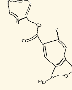 O=C(Oc1ccccn1)c1cc2c(cc1F)COB2O